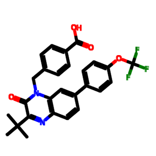 CC(C)(C)c1nc2ccc(-c3ccc(OC(F)(F)F)cc3)cc2n(Cc2ccc(C(=O)O)cc2)c1=O